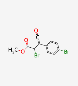 COC(=O)C(Br)C(=C=O)c1ccc(Br)cc1